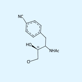 CC(=O)NC(Cc1ccc(C#N)cc1)[C@H](O)CCl